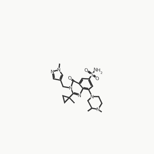 CC1CN(c2cc(S(N)(=O)=O)cc3c(=O)n(Cc4cnn(C)c4)c(C4(C)CC4)nc23)CCN1C